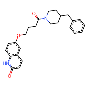 O=C(CCCOc1ccc2[nH]c(=O)ccc2c1)N1CCC(Cc2ccccc2)CC1